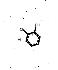 I.Oc1ccccc1Cl